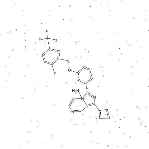 N[N+]12C=CN=CC1=C(C1=CC=C1)N=C2c1cccc(OCc2cc(C(F)(F)F)ccc2F)c1